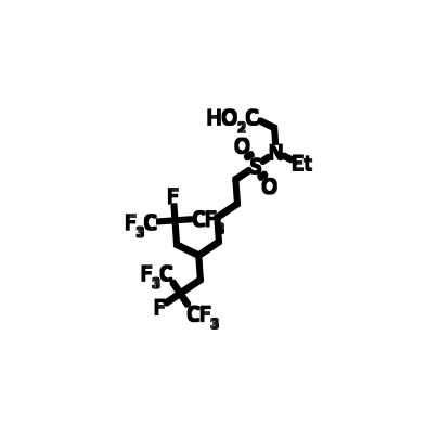 CCN(CC(=O)O)S(=O)(=O)CCCCC(CC(F)(C(F)(F)F)C(F)(F)F)CC(F)(C(F)(F)F)C(F)(F)F